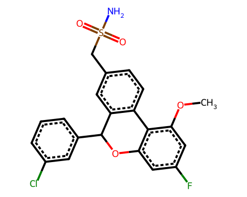 COc1cc(F)cc2c1-c1ccc(CS(N)(=O)=O)cc1C(c1cccc(Cl)c1)O2